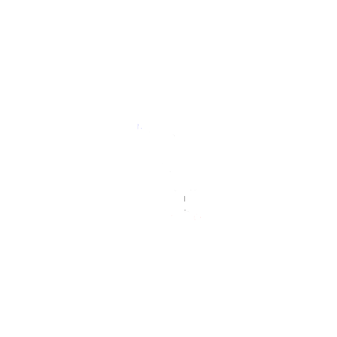 C=C(c1cccnc1)c1ccc2cc(C(=O)OC)ccc2c1